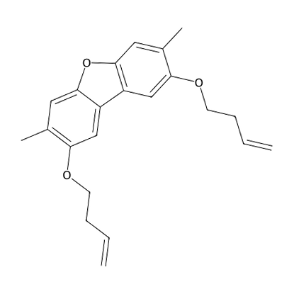 C=CCCOc1cc2c(cc1C)oc1cc(C)c(OCCC=C)cc12